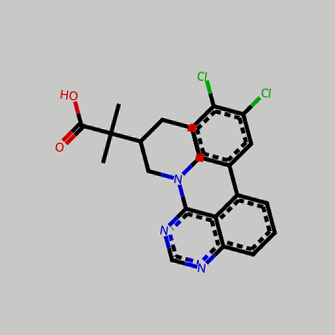 CC(C)(C(=O)O)C1CCCN(c2ncnc3cccc(-c4ccc(Cl)c(Cl)c4)c23)C1